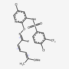 CO/C(C)=C/C=C\C(F)=N\Oc1ncc(Cl)cc1NS(=O)(=O)c1ccc(Cl)c(C(F)(F)F)c1